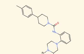 Cc1ccc(C2CCN(C(=O)Nc3ccccc3N3CCN(C(C)C)C(C)C3)CC2)cc1